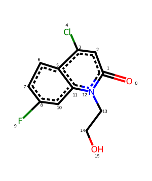 O=c1cc(Cl)c2ccc(F)cc2n1CCO